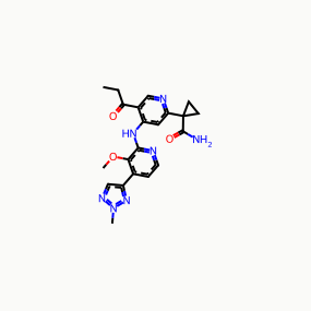 CCC(=O)c1cnc(C2(C(N)=O)CC2)cc1Nc1nccc(-c2cnn(C)n2)c1OC